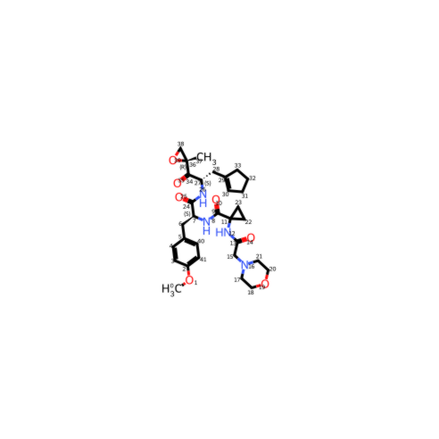 COc1ccc(C[C@H](NC(=O)C2(NC(=O)CN3CCOCC3)CC2)C(=O)N[C@@H](CC2=CCCC2)C(=O)[C@@]2(C)CO2)cc1